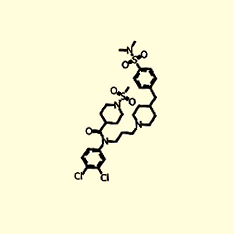 CN(C)S(=O)(=O)c1ccc(CC2CCN(CCCN(C(=O)C3CCN(S(C)(=O)=O)CC3)c3ccc(Cl)c(Cl)c3)CC2)cc1